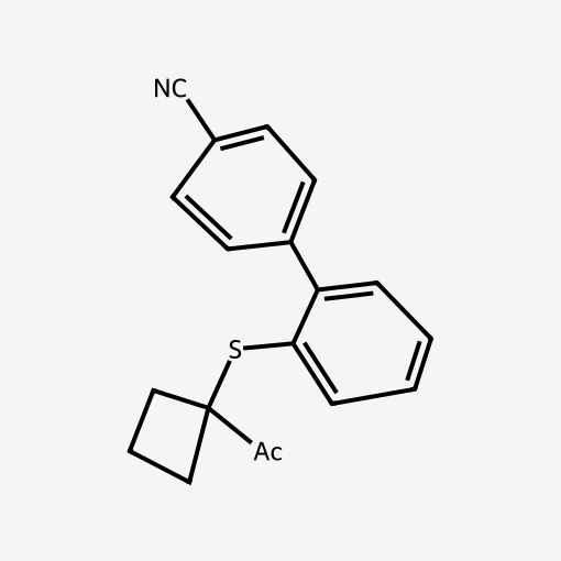 CC(=O)C1(Sc2ccccc2-c2ccc(C#N)cc2)CCC1